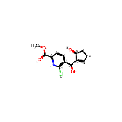 COC(=O)c1ccc(C(O)C2=CCCC2=O)c(Cl)n1